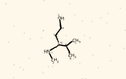 CN[C@@H](CCO)C(C)C